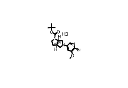 COc1cc(N2C[C@H]3CCN(C(=O)OC(C)(C)C)[C@H]3C2)cnc1Br.Cl